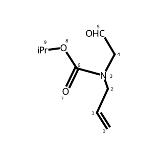 C=CCN(CC=O)C(=O)OC(C)C